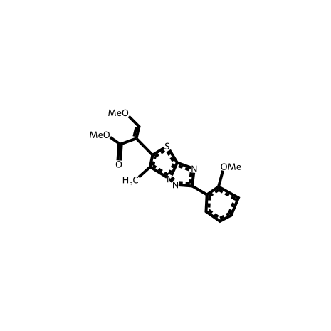 CO/C=C(\C(=O)OC)c1sc2nc(-c3ccccc3OC)nn2c1C